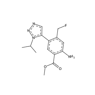 COC(=O)c1cc(-c2cnnn2C(C)C)c(CF)cc1N